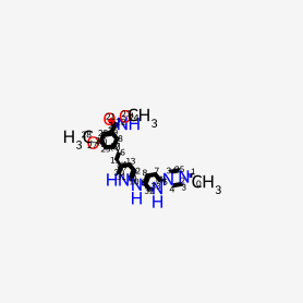 CCN1CCN([C@@H]2CC=C(NC3=CC[C@H](CC[C@H]4CC(C(=O)NOC)=C[C@@H](OC)C4)CN3)CN2)CC1